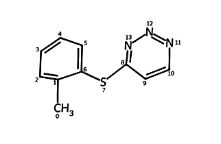 Cc1ccccc1Sc1ccnnn1